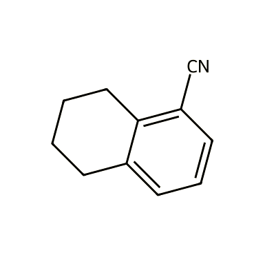 N#Cc1cccc2c1CCCC2